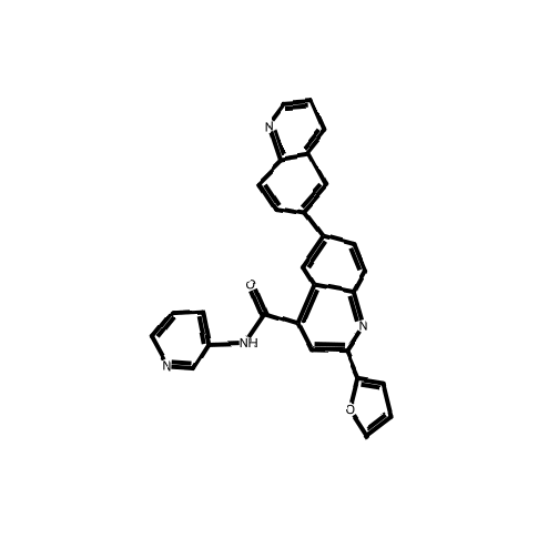 O=C(Nc1cccnc1)c1cc(-c2ccco2)nc2ccc(-c3ccc4ncccc4c3)cc12